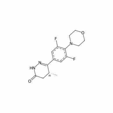 C[C@@H]1CC(=O)NN=C1c1cc(F)c(N2CCOCC2)c(F)c1